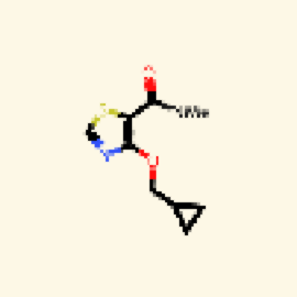 CNC(=O)c1scnc1OCC1CC1